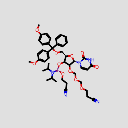 COc1ccc(C(OC[C@H]2O[C@@H](n3ccc(=O)[nH]c3=O)C(OCOCOCCC#N)C2OP(OCCC#N)N(C(C)C)C(C)C)(c2ccccc2)c2ccc(OC)cc2)cc1